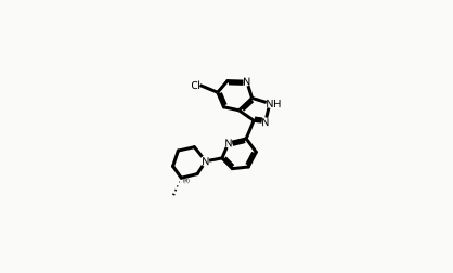 C[C@@H]1CCCN(c2cccc(-c3n[nH]c4ncc(Cl)cc34)n2)C1